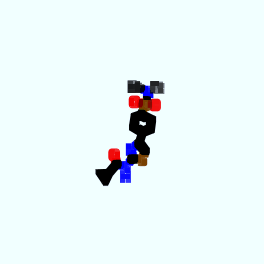 CCN(CC)S(=O)(=O)c1ccc(-c2csc(NC(=O)C3CC3)n2)cc1